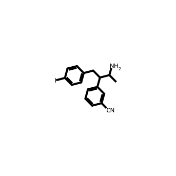 CC(N)C(Cc1ccc(I)cc1)c1cccc(C#N)c1